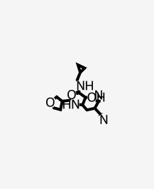 N#CC(C#N)CC(NCC1CCOC1)C(O)C(=O)NCC1CC1